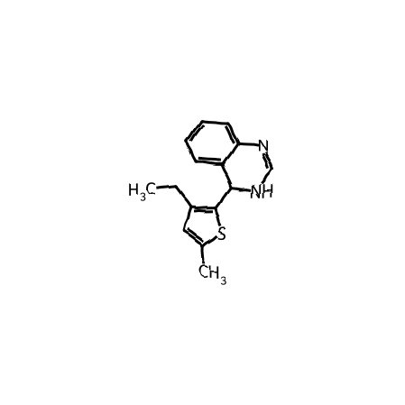 CCc1cc(C)sc1C1NC=Nc2ccccc21